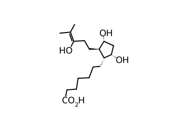 CC(C)=C(O)CC[C@@H]1[C@@H](CCCCCCC(=O)O)[C@@H](O)C[C@H]1O